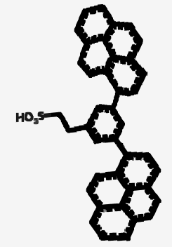 O=S(=O)(O)CCc1cc(-c2ccc3ccc4cccc5ccc2c3c45)cc(-c2ccc3ccc4cccc5ccc2c3c45)c1